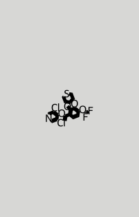 C=C(Oc1c(Cl)cncc1Cl)c1ccc(OC(F)F)c2c1OC1(CCSCC1)O2